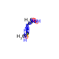 C[C@@H]1CNc2c(sc3ccc4nc(-c5cnc(N6CCN(CC7CCN(c8ccc9c(c8)n(C)c(=O)n9C8CCC(=O)NC8=O)CC7)CC6)nc5)ccc4c23)C(=O)N1